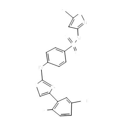 Cc1ccc(C)c(-c2csc(Nc3ccc(S(=O)(=O)Nc4cc(C)on4)cc3)n2)c1